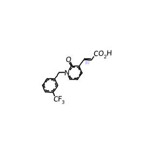 O=C(O)/C=C/c1cccn(Cc2cccc(C(F)(F)F)c2)c1=O